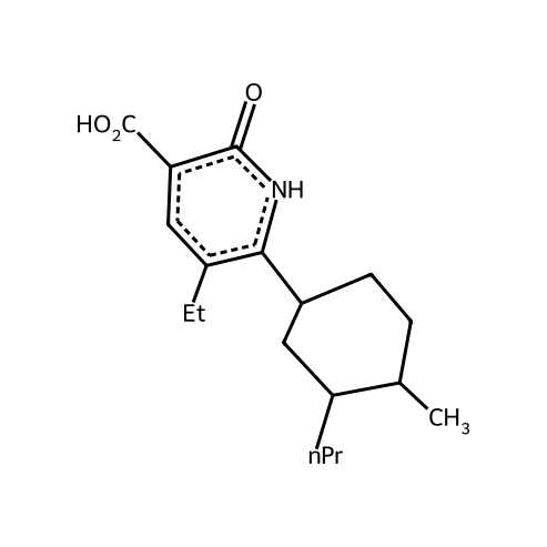 CCCC1CC(c2[nH]c(=O)c(C(=O)O)cc2CC)CCC1C